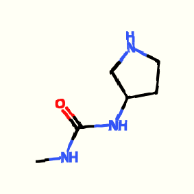 CNC(=O)NC1CCNC1